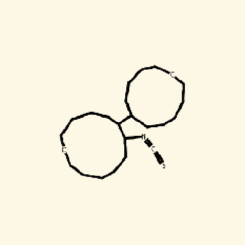 S=C=NC1CCCCCCCCCCC1C1CCCCCCCCCC1